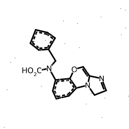 O=C(O)N(Cc1ccccc1)c1cccc2c1OC=C1N=CCN12